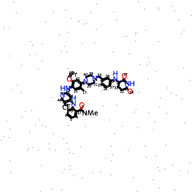 CNC(=O)c1ccccc1Nc1cc(Nc2cc(C)c(N3CCN(Cc4cccc(NC5CCC(=O)NC5=O)c4)CC3)cc2OC(C)C)ncc1C(F)(F)F